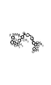 CNc1cc(=O)n(-c2ccnc3c2cc([C@H](C)N2CC=C(c4c(C)cc(C(=O)N5CCC(CN6CCN(c7ccc8c(c7)C(C)(C)C(=O)N8C7CCC(=O)NC7=O)CC6)CC5)cc4F)CC2)n3C)cc1F